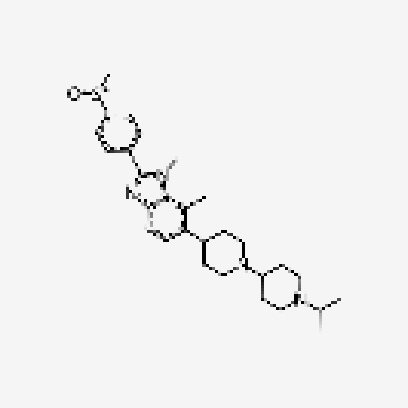 Cc1c(C2CCN(C3CCN(C(C)C)CC3)CC2)ccc2nc(-c3ccc([S+](C)[O-])cc3)n(C)c12